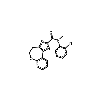 CN(C(=O)c1nc2c(s1)CCOc1ccccc1-2)c1ccccc1Cl